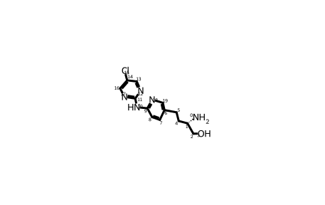 N[C@H](CO)CCc1ccc(Nc2ncc(Cl)cn2)nc1